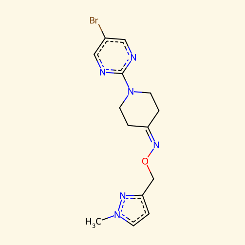 Cn1ccc(CON=C2CCN(c3ncc(Br)cn3)CC2)n1